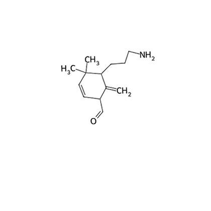 C=C1C(C=O)C=CC(C)(C)C1CCCN